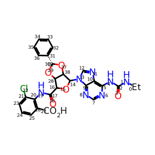 CCNC(=O)Nc1ncnc2c1ncn2C1OC(C(=O)Nc2c(Cl)cccc2C(=O)O)C2O[C@H](c3ccccc3)OC21